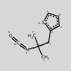 CC(C)(Cc1cccs1)N=C=O